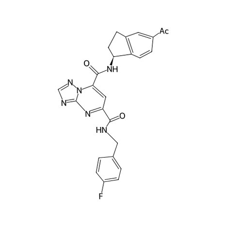 CC(=O)c1ccc2c(c1)CC[C@@H]2NC(=O)c1cc(C(=O)NCc2ccc(F)cc2)nc2ncnn12